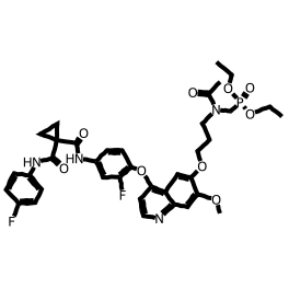 CCOP(=O)(CN(CCCOc1cc2c(Oc3ccc(NC(=O)C4(C(=O)Nc5ccc(F)cc5)CC4)cc3F)ccnc2cc1OC)C(C)=O)OCC